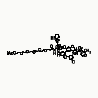 COCCOCCOCCOCCOCCOCCC(=O)N[C@H](CC(=O)N1CC2(CCCN2)C1)C(=O)Nc1cccc(-c2cc3c(cc2OC)OCc2c(C(=O)N4CCOCC4(C)C)nn(-c4cc(Cl)cc(Cl)c4)c2-3)c1